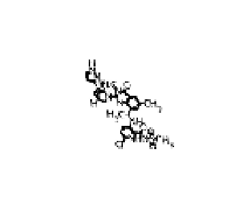 Cc1cc([C@@H](C)Nc2ccc(Cl)nc2C(=O)NS(C)(=O)=O)c2nc(N3C[C@H]4C[C@@H](c5cc[nH]n5)[C@@H]3C4)n(C)c(=O)c2c1